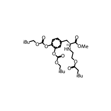 CCC(C)COC(=O)Oc1ccc(C[C@H](NCCOC(=O)CC(C)CC)C(=O)OC)cc1OC(=O)OCC(C)CC